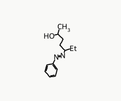 CCC(CCC(C)O)N=Nc1ccccc1